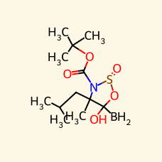 BC1(O)OS(=O)N(C(=O)OC(C)(C)C)C1(C)CC(C)C